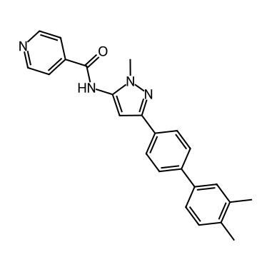 Cc1ccc(-c2ccc(-c3cc(NC(=O)c4ccncc4)n(C)n3)cc2)cc1C